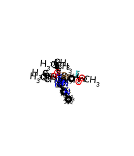 CCOC(=O)C(F)[C@H]1CC[C@@H](c2nc3c(-c4ccc(-c5ccccc5)nc4)cnn3c(N(COCC[Si](C)(C)C)COCC[Si](C)(C)C)c2Br)CC1